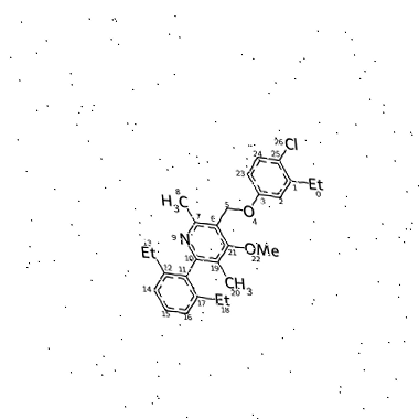 CCc1cc(OCc2c(C)nc(-c3c(CC)cccc3CC)c(C)c2OC)ccc1Cl